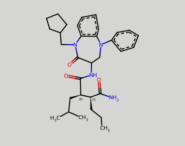 CCC[C@H](C(N)=O)[C@@H](CC(C)C)C(=O)NC1CN(c2ccccc2)c2ccccc2N(CC2CCCC2)C1=O